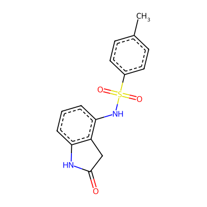 Cc1ccc(S(=O)(=O)Nc2cccc3c2CC(=O)N3)cc1